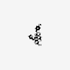 COc1ccc(CNC(=O)N2[C@H]3CN(CC4CCCO4)C(=O)[C@H](CC(=O)O)N3C(=O)CN2C)cc1